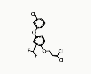 FC(F)c1cc(Oc2cccc(Cl)c2)ccc1OCC=C(Cl)Cl